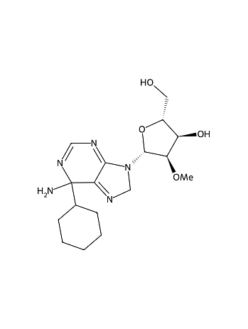 CO[C@@H]1[C@H](O)[C@@H](CO)O[C@H]1N1CN=C2C1=NC=NC2(N)C1CCCCC1